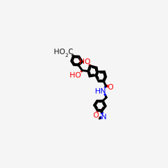 O=C(O)c1ccc(C(O)c2cc3cc(C(=O)NCc4ccc5ocnc5c4)ccc3cc2O)cc1